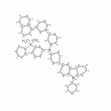 CC1(C)c2ccccc2-c2ccc(N(c3ccc(-c4ccc5c(c4)c4ccccc4n5-c4ccccc4)cc3)c3cccc(-c4cccc(-c5cccc6ccccc56)c4)c3)cc21